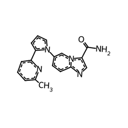 Cc1cccc(-c2cccn2-c2ccc3ncc(C(N)=O)n3c2)n1